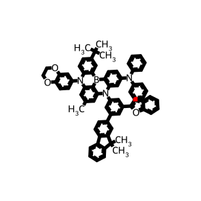 Cc1cc2c3c(c1)N(c1cc(-c4ccc5c(c4)C(C)(C)c4ccccc4-5)cc(-c4cc5ccccc5o4)c1)c1cc(N(c4ccccc4)c4ccccc4)ccc1B3c1cc(C(C)(C)C)ccc1N2c1ccc2c(c1)OCCO2